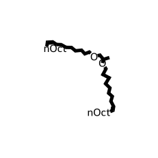 CCCCCCCC/C=C\CCCCCCCCOCC(C)OCCCCCCCC/C=C\CCCCCCCC